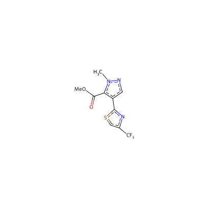 COC(=O)c1c(-c2nc(C(F)(F)F)cs2)cnn1C